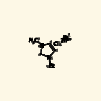 CCN1C=CN(C)C1.[Br-].[Cl-].[Zn+2]